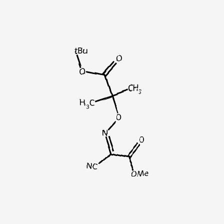 COC(=O)/C(C#N)=N\OC(C)(C)C(=O)OC(C)(C)C